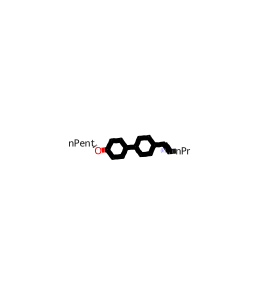 CCC/C=C/C1CCC(C2CCC(OCCCCC)CC2)CC1